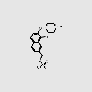 CS(=O)(=O)OCc1ccc2ccc(O[C@H]3CC[C@@H](C)CC3)c(Cl)c2c1